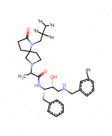 [3H]C([3H])C([3H])([3H])CN1C(=O)CCC12CCN(C(C)C(=O)N[C@@H](Cc1ccccc1)[C@H](O)CNCc1cccc(C(C)C)c1)C2